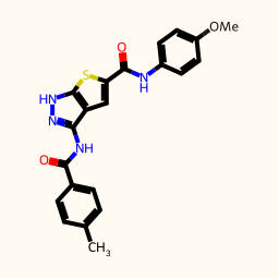 COc1ccc(NC(=O)c2cc3c(NC(=O)c4ccc(C)cc4)n[nH]c3s2)cc1